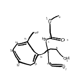 COC(=O)NC(C=O)(CO)c1ccccc1C